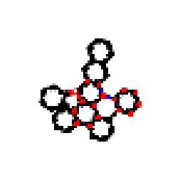 c1ccc(-c2ccccc2-c2c(-c3ccccc3)cccc2-c2ccccc2N(c2ccc3ccccc3c2)c2cccc3c2oc2ccccc23)cc1